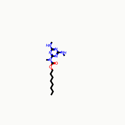 CCCCCCCCOC(=O)N(C)c1nc(NC)nc(NC)n1